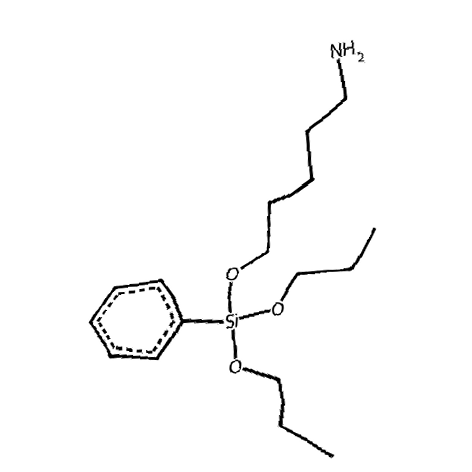 CCCO[Si](OCCC)(OCCCCCN)c1ccccc1